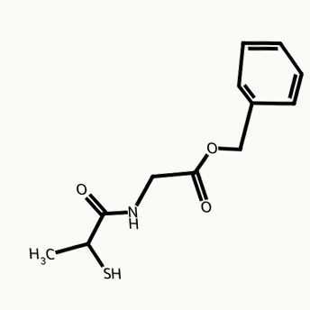 CC(S)C(=O)NCC(=O)OCc1ccccc1